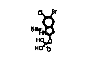 O=P(O)(O)Oc1cc2cc(Br)c(Cl)cc2[nH]1.[Na].[Na]